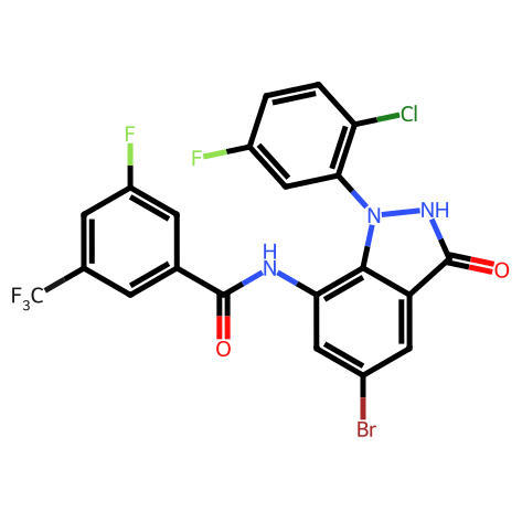 O=C(Nc1cc(Br)cc2c(=O)[nH]n(-c3cc(F)ccc3Cl)c12)c1cc(F)cc(C(F)(F)F)c1